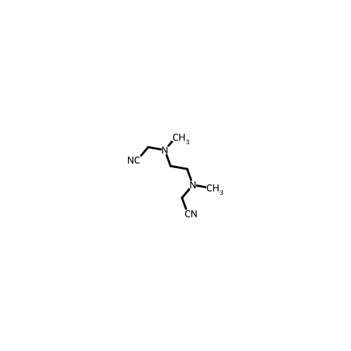 CN(CC#N)CCN(C)CC#N